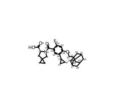 O=C(O)[C@@H]1CC2(CC2)CN1C(=O)c1cc(C2CC2)c(OCC23CC4CC(CC(C4)C2)C3)cc1F